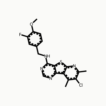 COc1ccc(CNc2ncnc3c2sc2nc(C)c(Cl)c(C)c23)cc1F